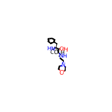 O=C(O)N[C@@H](Cc1ccccc1)[C@@H](O)CNCCN1CCOCC1